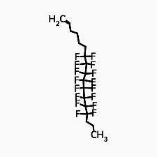 C=CCCCCC(F)(F)C(F)(F)C(F)(F)C(F)(F)C(F)(F)C(F)(F)C(F)(F)C(F)(F)CCC